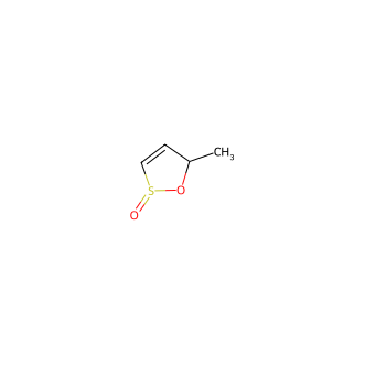 CC1C=CS(=O)O1